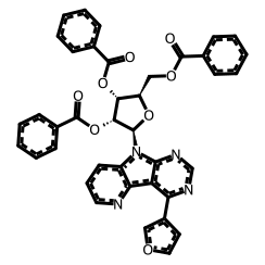 O=C(OC[C@H]1O[C@@H](n2c3cccnc3c3c(-c4ccoc4)ncnc32)[C@H](OC(=O)c2ccccc2)[C@@H]1OC(=O)c1ccccc1)c1ccccc1